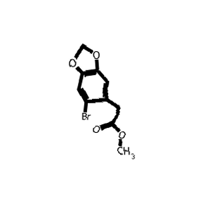 COC(=O)Cc1cc2c(cc1Br)OCO2